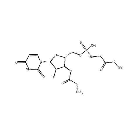 CC(C)OC(=O)CNP(=O)(O)OC[C@H]1O[C@@H](n2ccc(=O)[nH]c2=O)C(F)C1OC(=O)CN